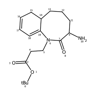 CC(C)(C)OC(=O)CCN1C(=O)C(N)CCCC2CC=CC=C21